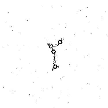 COc1ccc(COC[C@H]2CNCCN2c2ccc(OCCCOCc3cc(F)cc(F)c3)cc2)cc1